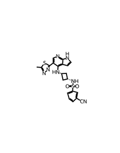 Cc1nnc(-c2cnc3[nH]ccc3c2N[C@H]2C[C@@H](NS(=O)(=O)c3cccc(C#N)c3)C2)s1